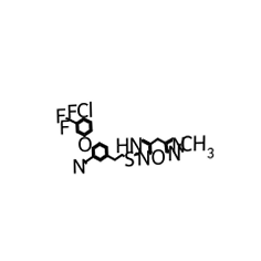 Cn1cc(Cc2c[nH]c(SCCc3ccc(Oc4ccc(Cl)c(C(F)(F)F)c4)c(C#N)c3)nc2=O)cn1